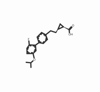 CC(C)Oc1ccc(F)c(-c2ccc(CC[C@H]3C[C@H]3C(=O)O)cc2)c1